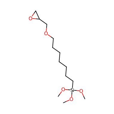 CO[Si](CCCCCCCOCC1CO1)(OC)OC